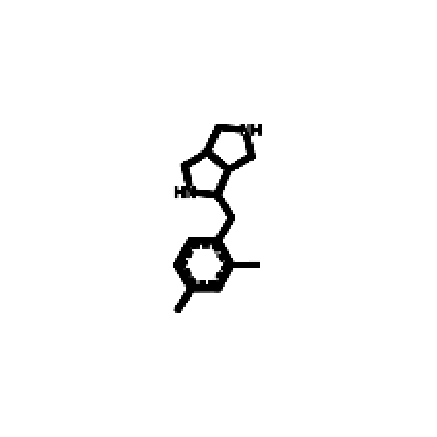 Cc1ccc(CC2NCC3CNCC32)c(C)c1